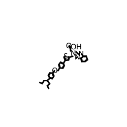 CCCC(CCC)c1ccc(OCc2ccc(-c3csc(CN(CC(=O)O)Cc4nc5ccccc5n4C)c3)cc2)cc1